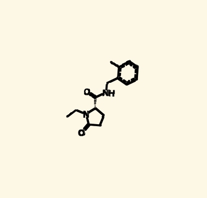 CCN1C(=O)CC[C@H]1C(=O)NCc1ccccc1C